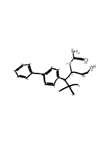 CC(C)(C)C(c1ccc(-c2ccccc2)cc1)C(CO)OC(N)=O